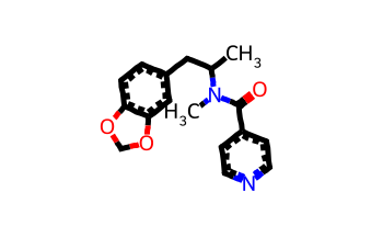 CC(Cc1ccc2c(c1)OCO2)N(C)C(=O)c1ccncc1